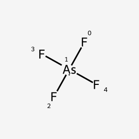 F[As](F)(F)F